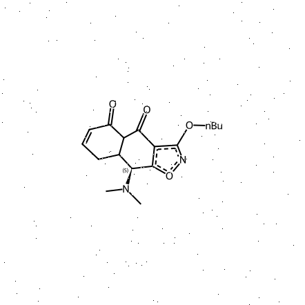 CCCCOc1noc2c1C(=O)C1C(=O)C=CCC1[C@@H]2N(C)C